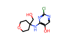 OCC1(Nc2nc(Cl)ncc2O)CCOCC1